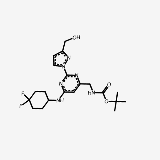 CC(C)(C)OC(=O)NCc1cc(NC2CCC(F)(F)CC2)nc(-n2ccc(CO)n2)n1